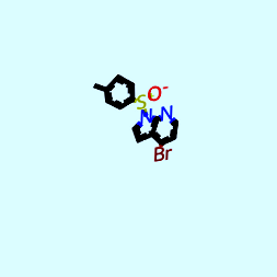 Cc1ccc([S+]([O-])n2ccc3c(Br)ccnc32)cc1